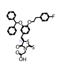 O=C(O)CN1C(=O)/C(=C/c2ccc(OCCc3ccc(F)cc3)c(OC(c3ccccc3)c3ccccc3)c2)SC1=S